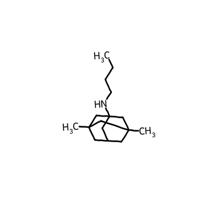 CCCCNC12CC3CC(C)(CC(C)(C3)C1)C2